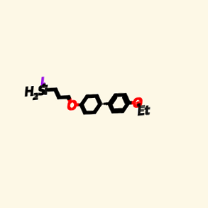 CCOc1ccc([C@H]2CC[C@H](OCCC[SiH2]I)CC2)cc1